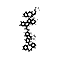 C=C/C=C\C1=C(C)N(c2cc3c4ccccc4c(/C=C/c4ccc5c(c4)C(C)(C)c4cc(N6c7ccccc7CCc7ccccc76)ccc4-5)cc3c3ccccc23)c2ccccc2CC1